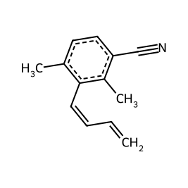 C=C/C=C\c1c(C)ccc(C#N)c1C